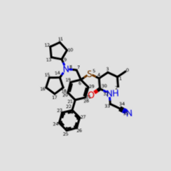 CC(C)CC(SC1(CN(C2CCCC2)C2CCCC2)C=CC(c2ccccc2)C=C1)C(=O)NCC#N